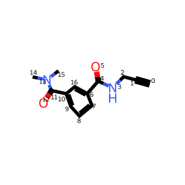 C#CCNC(=O)c1cccc(C(=O)N(C)C)c1